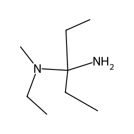 CCN(C)C(N)(CC)CC